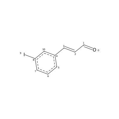 O=[C]C=Cc1cccc(I)c1